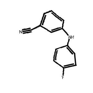 N#Cc1cc[c]c(Nc2ccc(F)cc2)c1